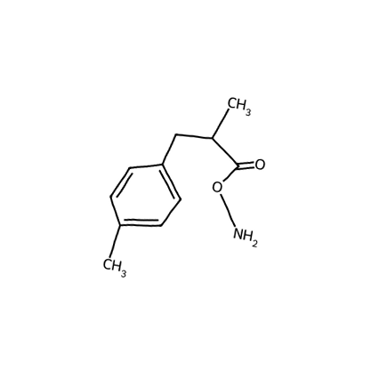 Cc1ccc(CC(C)C(=O)ON)cc1